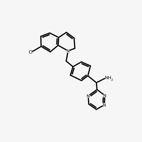 NC(c1ccc(CN2CC=Cc3ccc(Cl)cc32)cc1)c1nccnn1